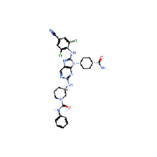 N#Cc1cc(Cl)c(Nc2nc3cnc(N[C@@H]4CCCN(C(=O)Nc5ccccc5)C4)nc3n2[C@H]2CC[C@@H](C(N)=O)CC2)c(Cl)c1